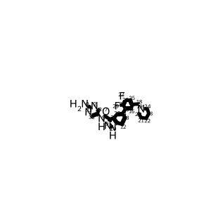 Nc1ncc(NC(=O)c2n[nH]c3ccc(-c4cc(CN5CCCCC5)cc(F)c4F)cc23)cn1